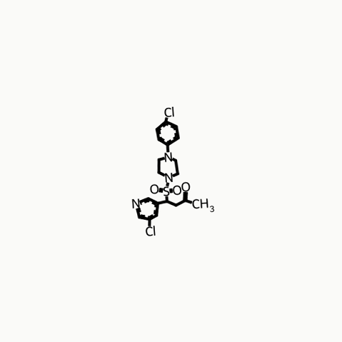 CC(=O)CC(c1cncc(Cl)c1)S(=O)(=O)N1CCN(c2ccc(Cl)cc2)CC1